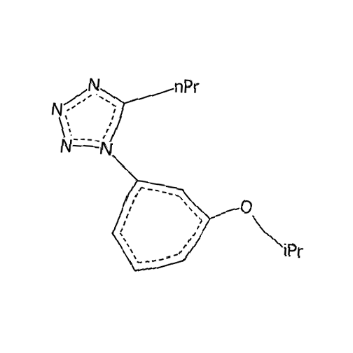 CCCc1nnnn1-c1cccc(OC(C)C)c1